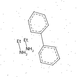 CCN.CCN.[c]1ccccc1-c1ccccc1